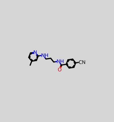 Cc1ccnc(NCCCNC(=O)c2ccc(C#N)cc2)c1